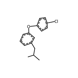 CC(C)Cc1cccc(Oc2ccc(Cl)cc2)c1